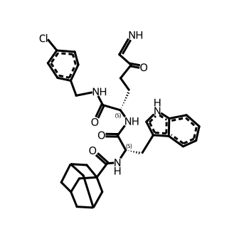 N=CC(=O)CC[C@H](NC(=O)[C@H](Cc1c[nH]c2ccccc12)NC(=O)C12CC3CC(CC(C3)C1)C2)C(=O)NCc1ccc(Cl)cc1